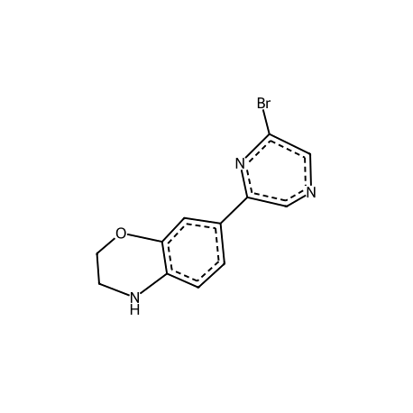 Brc1cncc(-c2ccc3c(c2)OCCN3)n1